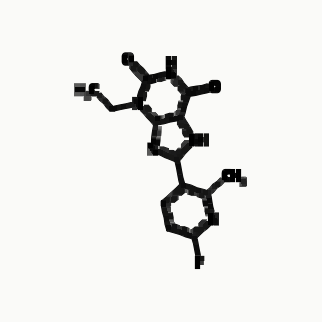 CCn1c(=O)[nH]c(=O)c2[nH]c(-c3ccc(F)nc3C)nc21